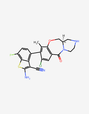 Cc1c2c(cc(Cl)c1-c1ccc(F)c3sc(N)c(C#N)c13)C(=O)N1CCNC[C@@H]1CO2